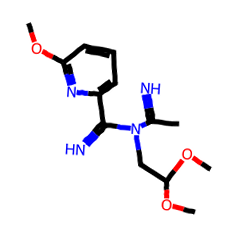 COc1cccc(C(=N)N(CC(OC)OC)C(C)=N)n1